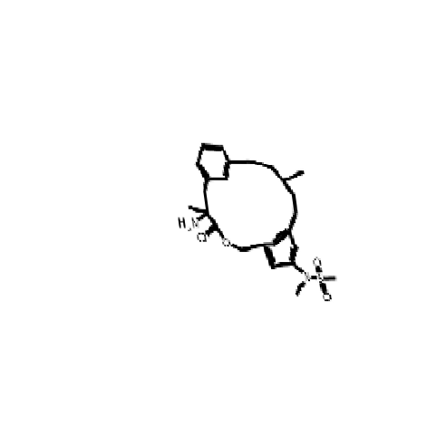 CC1CCc2cccc(c2)CC(C)(N)C(=O)OCc2cc(cc(N(C)S(C)(=O)=O)c2)CC1